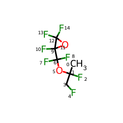 CC(F)(CF)OC(F)(F)C1(F)OC1(F)F